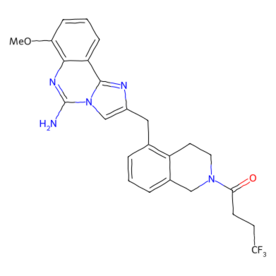 COc1cccc2c1nc(N)n1cc(Cc3cccc4c3CCN(C(=O)CCC(F)(F)F)C4)nc21